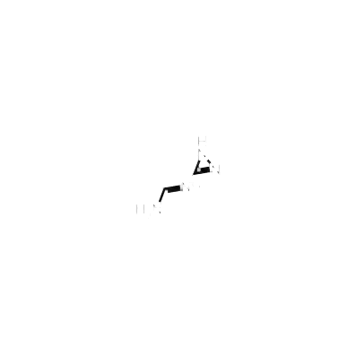 C1=NN1.N=CN